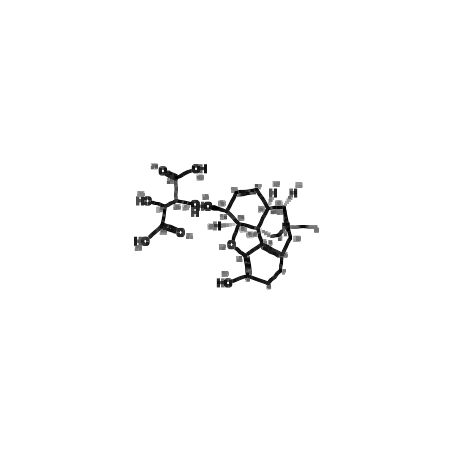 CN1CC[C@]23C4=C5CCC(O)=C4O[C@H]2[C@@H](O)C=C[C@H]3[C@H]1C5.O=C(O)C(O)C(O)C(=O)O